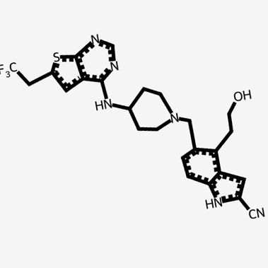 N#Cc1cc2c(CCO)c(CN3CCC(Nc4ncnc5sc(CC(F)(F)F)cc45)CC3)ccc2[nH]1